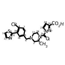 C[C@H]1CN(Cc2ccc(Cl)c(-c3nccs3)c2)CCN1C(=O)n1ccc(C(=O)O)n1